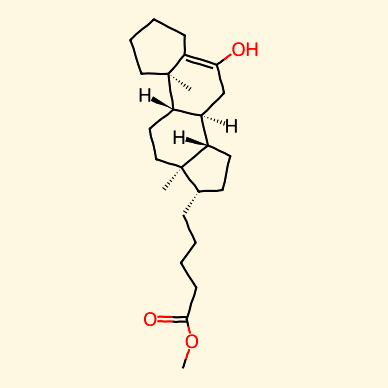 COC(=O)CCCC[C@H]1CC[C@H]2[C@@H]3CC(O)=C4CCCC[C@]4(C)[C@H]3CC[C@]12C